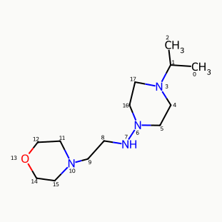 CC(C)N1CCN(NCCN2CCOCC2)CC1